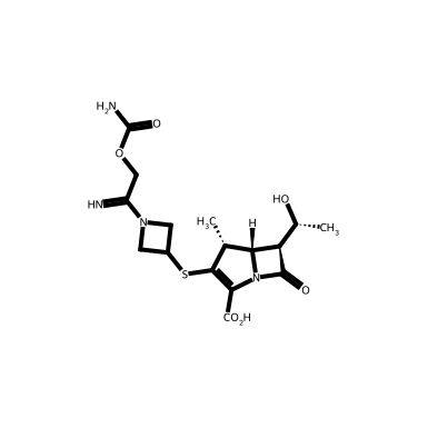 C[C@@H](O)[C@H]1C(=O)N2C(C(=O)O)=C(SC3CN(C(=N)COC(N)=O)C3)[C@H](C)[C@H]12